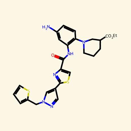 CCOC(=O)C1CCCN(c2ccc(N)cc2NC(=O)c2csc(-c3cnn(Cc4cccs4)c3)n2)C1